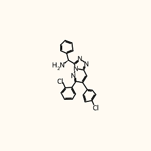 N[C@@H](c1ccccc1)c1nnc2cc(-c3ccc(Cl)cc3)c(-c3ccccc3Cl)nn12